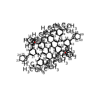 C[Si](C)(C)c1cc(N(c2cc(C3CC4CCC3C4)cc(C3CC4CCC3C4)c2)c2c3ccc([Si](C)(C)C)cc3c(-c3c4cc([Si](C)(C)C)ccc4c(N(c4cc(C5CC6CCC5C6)cc(C5CC6CCC5C6)c4)c4cc([Si](C)(C)C)cc([Si](C)(C)C)c4)c4cc([Si](C)(C)C)ccc34)c3ccc([Si](C)(C)C)cc23)cc([Si](C)(C)C)c1